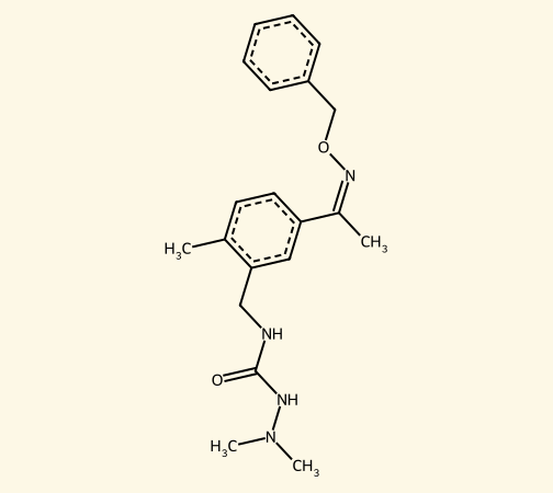 CC(=NOCc1ccccc1)c1ccc(C)c(CNC(=O)NN(C)C)c1